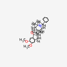 [2H]C([2H])(c1ccccc1)N1C([2H])([2H])C([2H])([2H])C([2H])(C([2H])([2H])C2([2H])C(=O)c3cc(OC)c(OC)cc3C2([2H])[2H])C([2H])([2H])C1([2H])[2H]